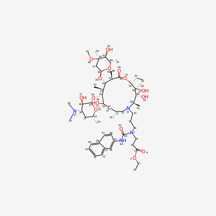 CCOC(=O)CCN(CCCN1C[C@H](C)C[C@@](C)(O)[C@H](O[C@@H]2O[C@H](C)C[C@H](N(C)C)[C@H]2O)[C@@H](C)[C@H](O[C@H]2C[C@@](C)(OC)[C@@H](O)[C@H](C)O2)[C@@H](C)C(=O)O[C@H](CC)[C@@](C)(O)[C@H](O)[C@H]1C)C(=O)Nc1ccc2ccccc2c1